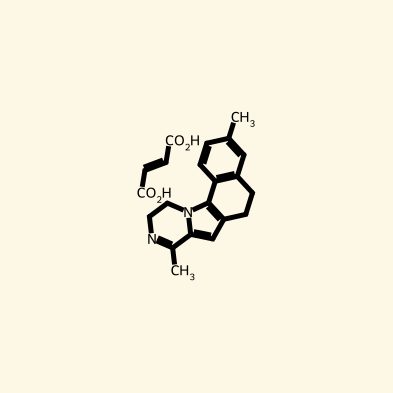 CC1=NCCn2c1cc1c2-c2ccc(C)cc2CC1.O=C(O)C=CC(=O)O